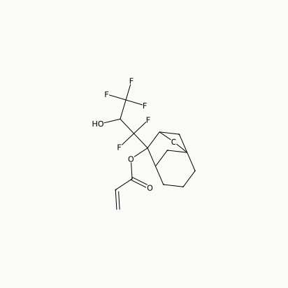 C=CC(=O)OC1(C(F)(F)C(O)C(F)(F)F)C2CCCC3(C2)CC1C3